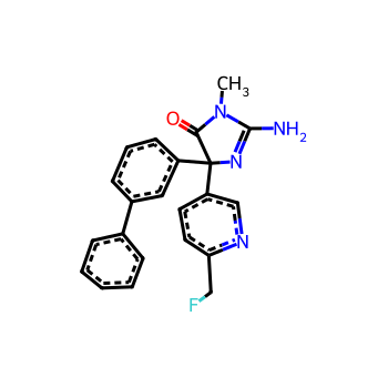 CN1C(=O)C(c2ccc(CF)nc2)(c2cccc(-c3ccccc3)c2)N=C1N